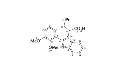 COc1cccc(-c2nc3ccccc3n2C(CC(C)C)C(=O)O)c1OC